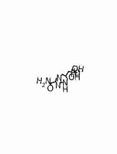 NC(=O)c1cn2c(n1)NCC(CP(=O)(O)O)C2